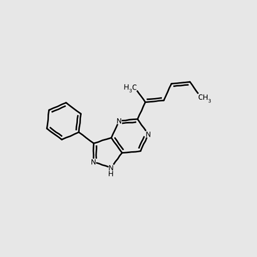 C/C=C\C=C(/C)c1ncc2[nH]nc(-c3ccccc3)c2n1